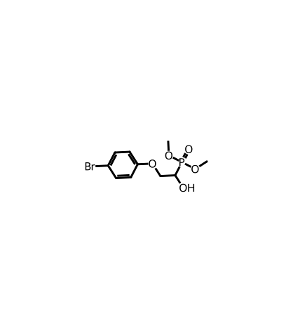 COP(=O)(OC)C(O)COc1ccc(Br)cc1